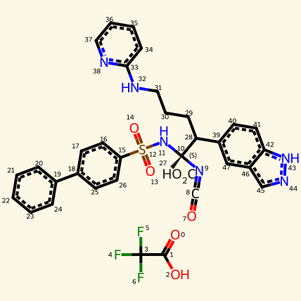 O=C(O)C(F)(F)F.O=C=N[C@@](NS(=O)(=O)c1ccc(-c2ccccc2)cc1)(C(=O)O)C(CCCNc1ccccn1)c1ccc2[nH]ncc2c1